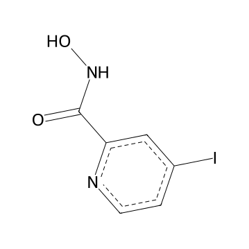 O=C(NO)c1cc(I)ccn1